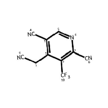 N#CCc1c(C#N)cnc(C#N)c1C(F)(F)F